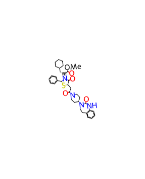 COC(=O)[C@@H](CC1CCCCC1)N1C(=O)C(CC(=O)N2CCC(N3CCc4ccccc4NC3=O)CC2)SC1c1ccccc1